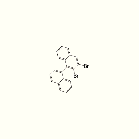 Brc1cc2ccccc2c(-c2cccc3ccccc23)c1Br